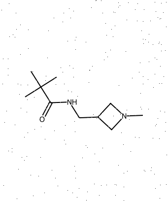 CN1CC(CNC(=O)C(C)(C)C)C1